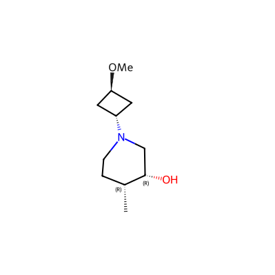 CO[C@H]1C[C@H](N2CC[C@@H](C)[C@@H](O)C2)C1